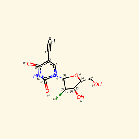 C#Cc1cn([C@@H]2O[C@H](CO)[C@@H](O)[C@H]2F)c(=O)[nH]c1=O